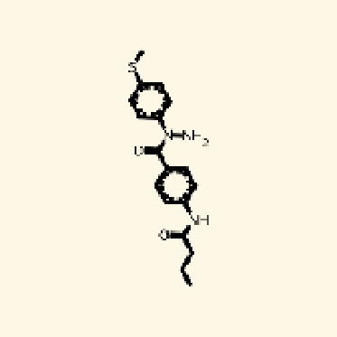 CCCC(=O)Nc1ccc(C(=O)N(N)c2ccc(SC)cc2)cc1